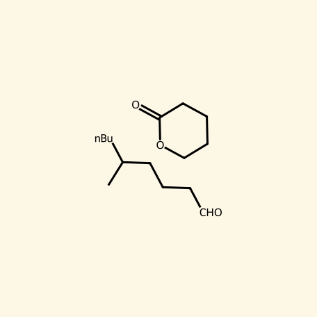 CCCCC(C)CCCC=O.O=C1CCCCO1